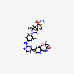 Cc1cc(Nc2nccc(-c3cnc4c(c3)OC(C)(C)C(=O)N4)n2)ccc1N1C[C@@H]2C[C@H]1CN2S(N)(=O)=O